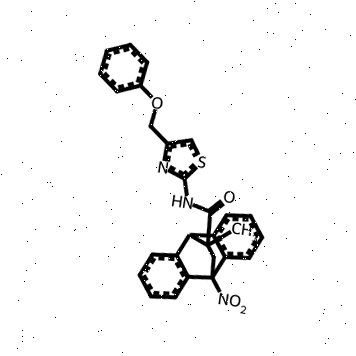 CC1(C(=O)Nc2nc(COc3ccccc3)cs2)CC2([N+](=O)[O-])c3ccccc3C1c1ccccc12